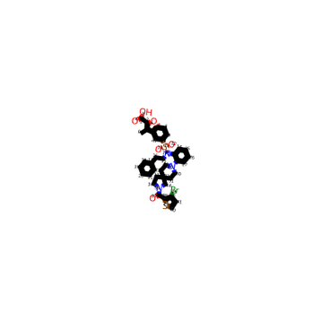 Cc1c(C(=O)O)oc2ccc(S(=O)(=O)N(CCc3ccccc3)c3ccccc3N3CCC4(CCN(C(=O)c5sccc5Br)C4)CC3)cc12